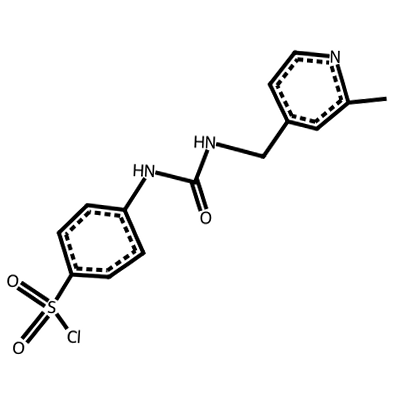 Cc1cc(CNC(=O)Nc2ccc(S(=O)(=O)Cl)cc2)ccn1